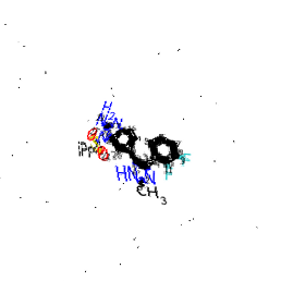 Cc1nc(-c2cccc(F)c2F)c(-c2ccc3nc(N)n(S(=O)(=O)C(C)C)c3c2)[nH]1